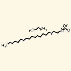 CCCCCCCCCCCCCCCCSCCCO[PH](=O)O.NCCO